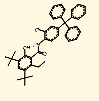 CCc1c(C(C)(C)C)cc(C(C)(C)C)c(O)c1C(=O)Nc1ccc(C(c2ccccc2)(c2ccccc2)c2ccccc2)cc1Cl